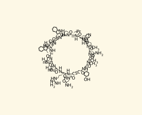 C=C(O)[C@@H]1NC(=O)[C@H](Cc2c[nH]c3ccccc23)NC(=O)[C@@H]2CCCN2C(=O)[C@H](CC(C)C)NC(=O)[C@H](Cc2cnc[nH]2)NC(=O)[C@@H]2CC[C@H](C)N2C(=O)[C@H](CC(N)=O)NC(=O)[C@H](C)N(C)C(=O)[C@H](Cc2ccc(O)cc2)NC(=O)CSCC(C(=O)NCC(N)=O)NC(=O)[C@H](CCCNC(=N)N)NC(=O)[C@H](CCCC)N(C)C(=O)[C@H](CCCC)N(C)C(=O)[C@H](Cc2c[nH]c3ccccc23)NC1=O